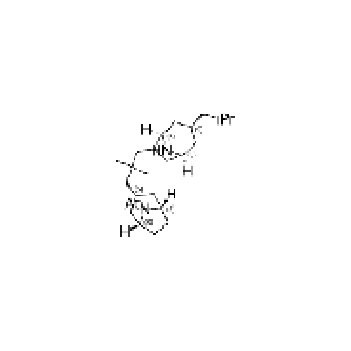 CC(=O)N1[C@@H]2CC[C@H]1C[C@H](CC(C)(C)CC1C[C@@H]3C[C@H](CC(C)C)C[C@H]1N3)C2